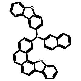 c1ccc2cc(N(c3ccc4oc5ccccc5c4c3)c3ccc4ccc5ccc6c7ccccc7[se]c6c5c4c3)ccc2c1